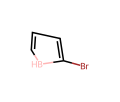 BrC1=CC=CB1